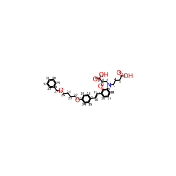 O=C(O)CCCN1CC(C(=O)O)Oc2c(C=Cc3ccc(OCCCCOCc4ccccc4)cc3)cccc21